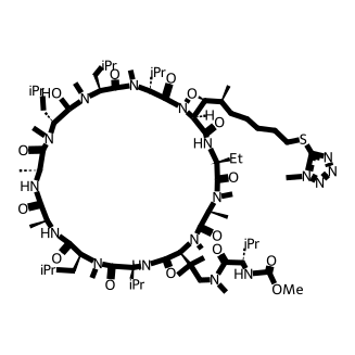 CC[C@@H]1NC(=O)[C@@H]2[C@@H]([C@@H](C)CCCCCSc3nnnn3C)ON2C(=O)[C@@H](C(C)C)N(C)C(=O)[C@H](CC(C)C)N(C)C(O)[C@@H](CC(C)C)N(C)C(=O)[C@@H](C)NC(=O)[C@H](C)NC(=O)[C@H](CC(C)C)N(C)C(=O)[C@H](C(C)C)NC(=O)[C@H](C(C)(C)CN(C)C(=O)[C@@H](NC(=O)OC)C(C)C)N(C)C(=O)[C@H](C)N(C)C1=O